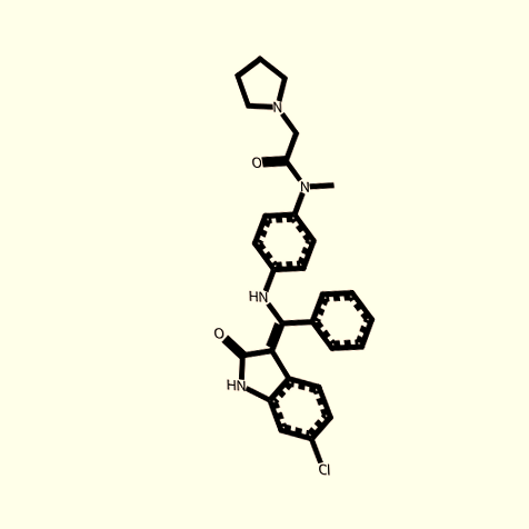 CN(C(=O)CN1CCCC1)c1ccc(N/C(=C2\C(=O)Nc3cc(Cl)ccc32)c2ccccc2)cc1